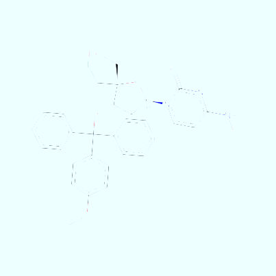 COc1ccc(C(O[C@H]2C[C@H](n3ccc(NO)nc3=O)O[C@@]2(CO)CCl)(c2ccccc2)c2ccccc2)cc1